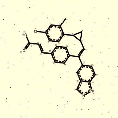 Cc1cc(Cl)ccc1C1CC1C=C(c1ccc(C=CC(=O)O)cc1)c1ccc2[nH]ncc2c1